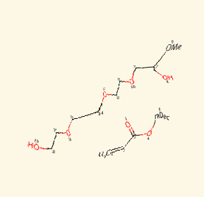 C=CC(=O)OCCCCCCCCCC.COC(O)COCCOCCOCCO